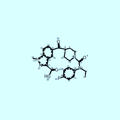 CCN(C(=O)N1CCC(C(=O)c2ccc3c(c2)c(C(=O)O)nn3C)CC1)c1ccc(F)cc1